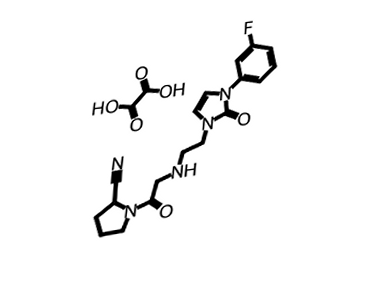 N#CC1CCCN1C(=O)CNCCn1ccn(-c2cccc(F)c2)c1=O.O=C(O)C(=O)O